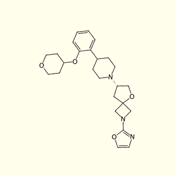 c1ccc(C2CCN([C@@H]3COC4(C3)CN(c3ncco3)C4)CC2)c(OC2CCOCC2)c1